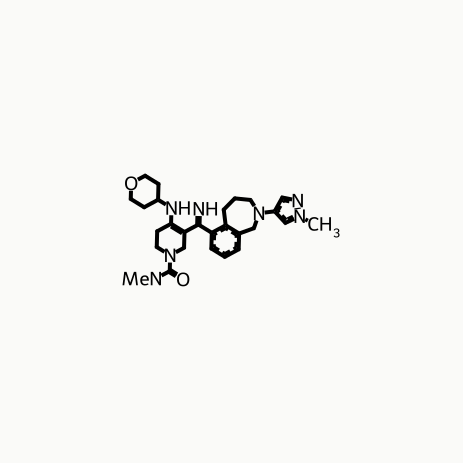 CNC(=O)N1CCC(NC2CCOCC2)=C(C(=N)c2cccc3c2CCCN(c2cnn(C)c2)C3)C1